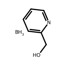 B.OCc1ccccn1